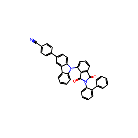 N#Cc1ccc(-c2ccc3c(c2)c2ccccc2n3-c2cccc3c2C(=O)N(c2ccccc2-c2ccccc2)C3=O)cc1